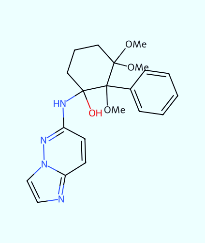 COC1(OC)CCCC(O)(Nc2ccc3nccn3n2)C1(OC)c1ccccc1